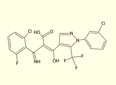 N=C(/C(C(=O)O)=C(\O)c1cnn(-c2cccc(Cl)c2)c1C(F)(F)F)c1c(F)cccc1Cl